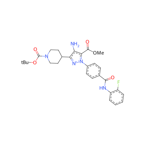 COC(=O)c1c(N)c(C2CCN(C(=O)OC(C)(C)C)CC2)nn1-c1ccc(C(=O)Nc2ccccc2F)cc1